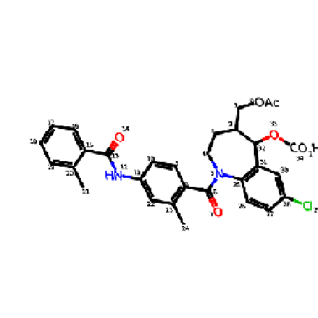 CC(=O)OCC1CCN(C(=O)c2ccc(NC(=O)c3ccccc3C)cc2C)c2ccc(Cl)cc2C1OC(=O)O